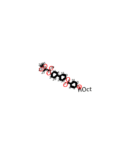 CCCCCCCCOc1ccc(C(=O)Oc2ccc(-c3ccc(OC(=O)[C@H]4COC(C)(C)O4)cc3)cc2)cc1